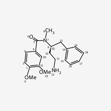 COc1ccc(C(=O)N(C)[C@H](CCN)Cc2ccccc2)cc1OC